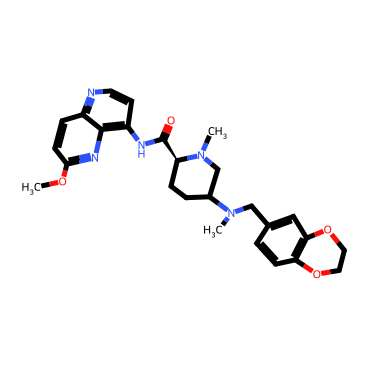 COc1ccc2nccc(NC(=O)[C@@H]3CCC(N(C)Cc4ccc5c(c4)OCCO5)CN3C)c2n1